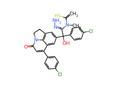 C=C(S)N(C)/C(=N\N)C(O)(c1ccc(Cl)cc1)c1cc2c3c(c1)c(-c1ccc(Cl)cc1)cc(=O)n3CC2